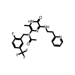 CC(=O)N(Cc1cc(C(F)(F)F)ccc1F)c1nc(NCCc2ccccn2)c(=O)[nH]c1C